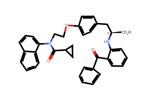 O=C(c1ccccc1)c1ccccc1N[C@@H](Cc1ccc(OCCN(C(=O)C2CC2)c2cccc3ccccc23)cc1)C(=O)O